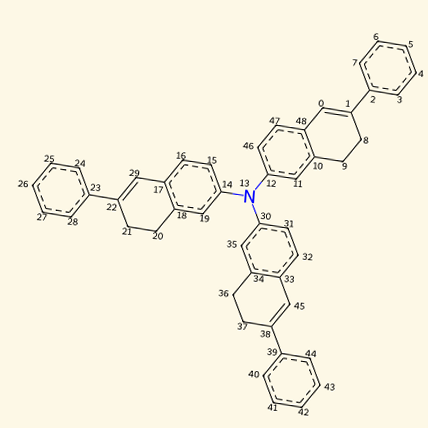 C1=C(c2ccccc2)CCc2cc(N(c3ccc4c(c3)CCC(c3ccccc3)=C4)c3ccc4c(c3)CCC(c3ccccc3)=C4)ccc21